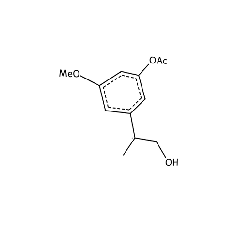 COc1cc(OC(C)=O)cc([C](C)CO)c1